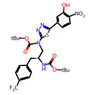 CC(C)(C)OC(=O)N[C@@H](Cc1ccc(C(F)(F)F)cc1)CN(C(=O)OC(C)(C)C)c1nnc(-c2ccc([N+](=O)[O-])c(O)c2)s1